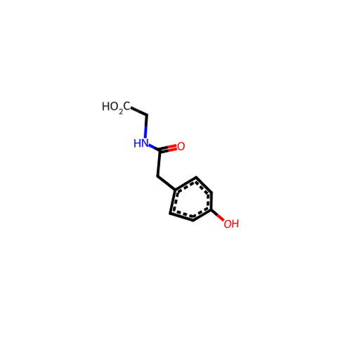 O=C(O)CNC(=O)Cc1ccc(O)cc1